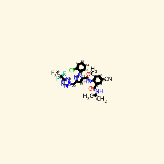 C=C(C)NC(=O)c1cc(C#N)cc(C)c1NC(=O)c1cc(Cn2nnc(C(F)(F)C(F)(F)F)n2)nn1-c1ccccc1Cl